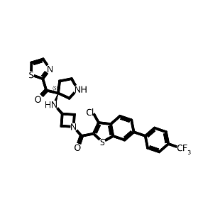 O=C(c1sc2cc(-c3ccc(C(F)(F)F)cc3)ccc2c1Cl)N1CC(N[C@@]2(C(=O)c3nccs3)CCNC2)C1